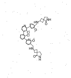 COc1cc(-c2nccc(-c3cccc(-c4ccc(CNC5CC6(CCNC6=O)C5)c(OC)n4)c3Cl)c2Cl)ccc1CNC1CC2(CCNC2=O)C1